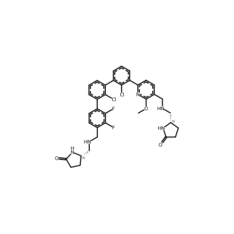 COc1nc(-c2cccc(-c3cccc(-c4ccc(CNC[C@@H]5CCC(=O)N5)c(F)c4F)c3Cl)c2Cl)ccc1CNC[C@@H]1CCC(=O)N1